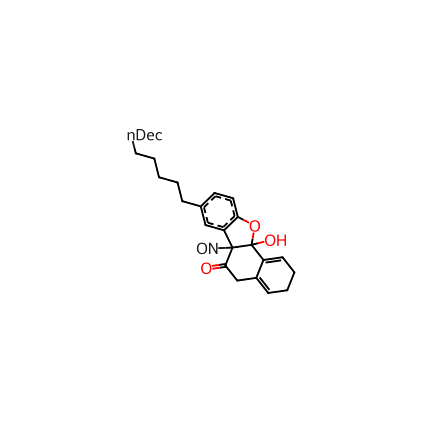 CCCCCCCCCCCCCCCc1ccc2c(c1)C1(N=O)C(=O)CC3=CCCC=C3C1(O)O2